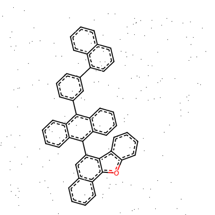 c1cc(-c2cccc3ccccc23)cc(-c2c3ccccc3c(-c3cc4ccccc4c4oc5ccccc5c34)c3ccccc23)c1